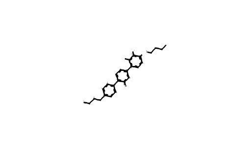 CCCCOc1ccc(-c2ccc(-c3ccc(CCCC)cc3)c(F)c2)c(F)c1F